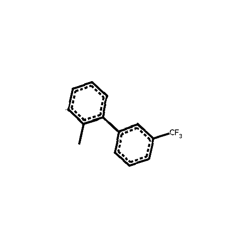 Cc1[c]cccc1-c1cccc(C(F)(F)F)c1